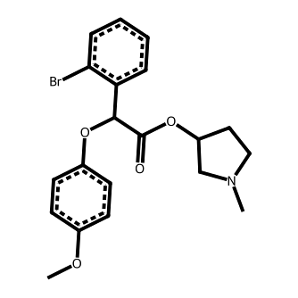 COc1ccc(OC(C(=O)OC2CCN(C)C2)c2ccccc2Br)cc1